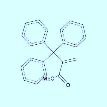 C=C(C(=O)OC)C(c1ccccc1)(c1ccccc1)c1ccccc1